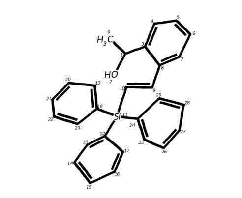 CC(O)c1ccccc1C=C[Si](c1ccccc1)(c1ccccc1)c1ccccc1